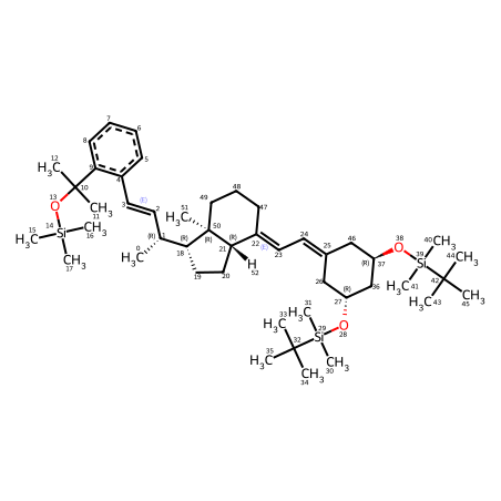 C[C@H](/C=C/c1ccccc1C(C)(C)O[Si](C)(C)C)[C@H]1CC[C@H]2/C(=C/C=C3C[C@@H](O[Si](C)(C)C(C)(C)C)C[C@H](O[Si](C)(C)C(C)(C)C)C3)CCC[C@]12C